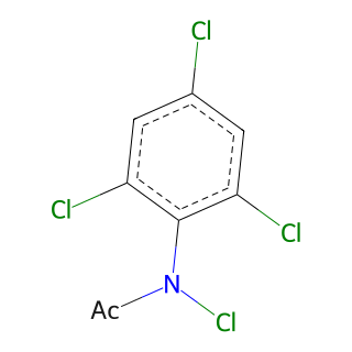 CC(=O)N(Cl)c1c(Cl)cc(Cl)cc1Cl